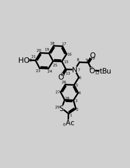 CC(=O)c1cc2cc(CN(CC(=O)OC(C)(C)C)C(=O)c3cccc4cc(O)ccc34)ccc2s1